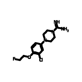 N=C(N)N1CCN(c2ccc(OCCF)c(Cl)c2)CC1